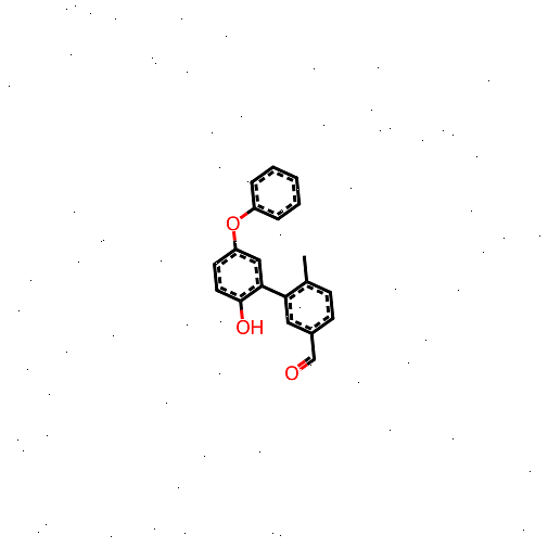 Cc1ccc(C=O)cc1-c1cc(Oc2ccccc2)ccc1O